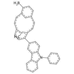 Bc1ccc2ccc3c(-c4ccc5c(c4)c4ccccc4n5-c4ccccc4)ccc(ccc1c2)c3C